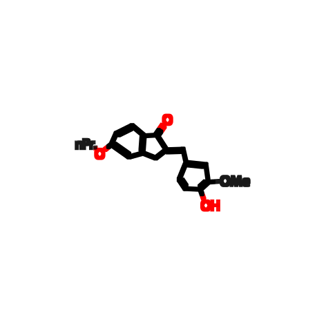 CCCOc1ccc2c(c1)CC(=Cc1ccc(O)c(OC)c1)C2=O